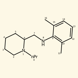 CCCN1CCCCC1CNc1c(C)cccc1C